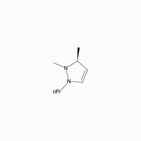 CCCN1C=C[C@H](C)N1C